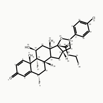 C[C@]12C=CC(=O)C=C1[C@@H](F)C[C@H]1C3C[C@H]4CN(c5ccc(Cl)cc5)O[C@@]4(C(=O)SCF)[C@@]3(C)C[C@H](O)[C@@]12F